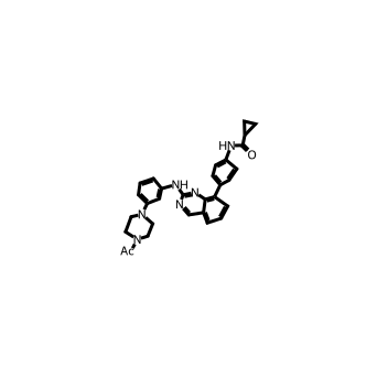 CC(=O)N1CCN(c2cccc(Nc3ncc4cccc(-c5ccc(NC(=O)C6CC6)cc5)c4n3)c2)CC1